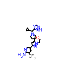 Nc1ncc(-c2cc3n(n2)CCOC32CCN(C(c3ncn[nH]3)C3CC3)C2)cc1C(F)(F)F